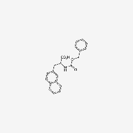 O=C(NC(Cc1ccc2ccccc2c1)C(=O)O)OCc1ccccc1